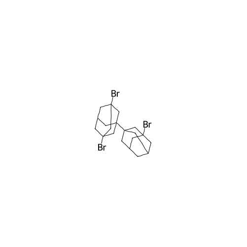 BrC12CC3CC(C1)CC(C14CC5CC(Br)(CC(Br)(C5)C1)C4)(C3)C2